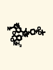 Cc1c(-c2cc(OC(C)c3ccccc3C(N)=O)c3c(C#N)cnn3c2)nnn1C1CCN(C(=O)OC(C)(C)C)CC1